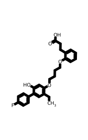 CCc1cc(-c2ccc(F)cc2)c(O)cc1OCCCCOc1ccccc1CCC(=O)O